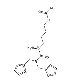 NC(=O)OCCCC[C@H](N)C(=O)N(Cc1cccs1)Cc1cccs1